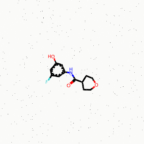 O=C(Nc1cc(O)cc(F)c1)C1CCOCC1